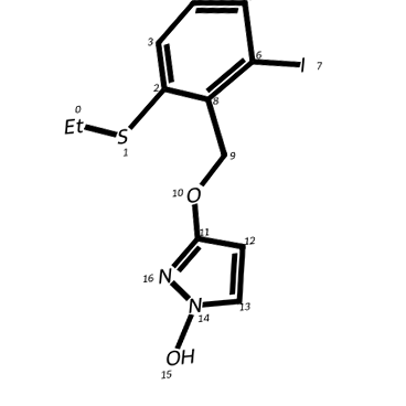 CCSc1cccc(I)c1COc1ccn(O)n1